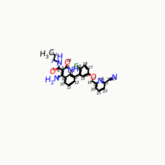 CCCNC(=O)c1c(N)c2cccc(-c3cc(OCc4cccc(C#N)n4)ccc3F)c2[nH]c1=O